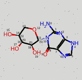 Nc1nc2[nH]cnc2c(=O)n1[C@H]1OC[C@H](O)[C@H](O)[C@@H]1O